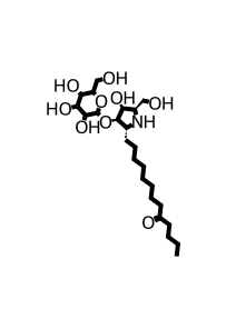 CCCCC(=O)CCCCCCCC[C@H]1N[C@H](CO)[C@H](O)[C@@H]1OC1OC(CO)C(O)C(O)C1O